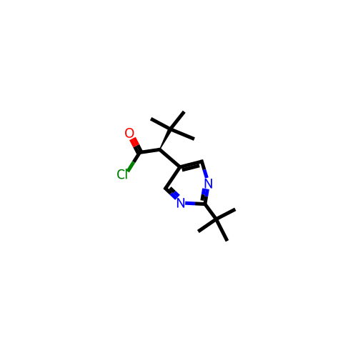 CC(C)(C)c1ncc([C@@H](C(=O)Cl)C(C)(C)C)cn1